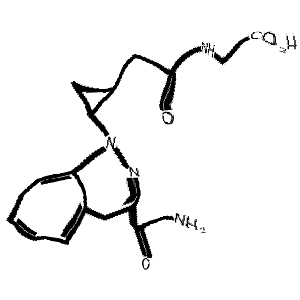 NC(=O)c1nn(C2CC2CC(=O)NCC(=O)O)c2ccccc12